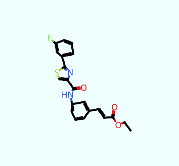 CCOC(=O)/C=C/c1cccc(NC(=O)c2csc(-c3cccc(F)c3)n2)c1